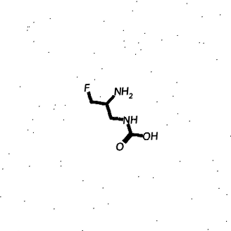 NC(CF)CNC(=O)O